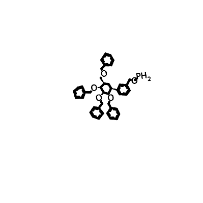 POCc1cccc([C@@H]2C[C@H](COCc3ccccc3)[C@@H](OCc3ccccc3)[C@H](OCc3ccccc3)[C@H]2OCc2ccccc2)c1